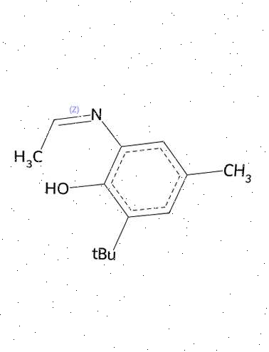 C/C=N\c1cc(C)cc(C(C)(C)C)c1O